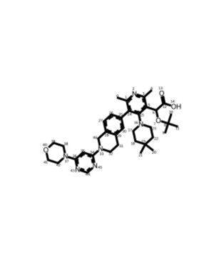 Cc1nc(C)c(C(OC(C)(C)C)C(=O)O)c(N2CCC(C)(C)CC2)c1-c1ccc2c(c1)CCN(c1cc(N3CCOCC3)ncn1)C2